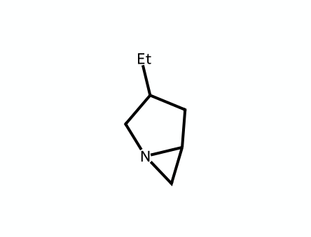 CCC1CC2CN2C1